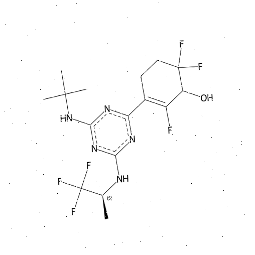 C[C@H](Nc1nc(NC(C)(C)C)nc(C2=C(F)C(O)C(F)(F)CC2)n1)C(F)(F)F